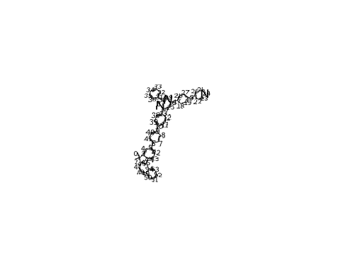 CC1(C)c2cc(-c3ccc(-c4ccc(-c5cc(-c6ccc(-c7ccncc7)cc6)nc(-c6ccccc6)n5)cc4)cc3)ccc2-c2c1ccc1ccccc21